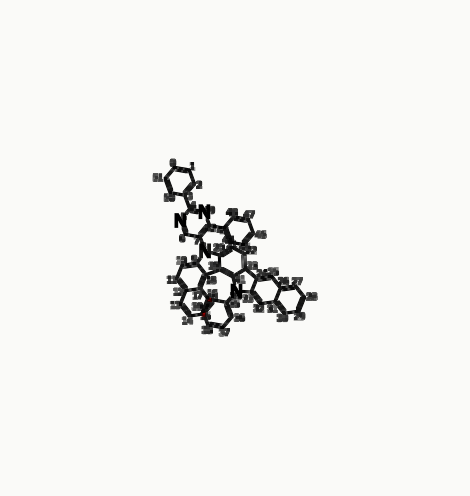 c1ccc(-c2ncc(-n3c4ccc5ccccc5c4c4c3ccc3c5cc6ccccc6cc5n(-c5ccccc5)c34)c(-c3ccccc3)n2)cc1